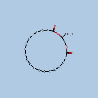 O=C1CCCCCCCCCCCCCCCCCCC(=O)O[C@@H](C(=O)O)CO1